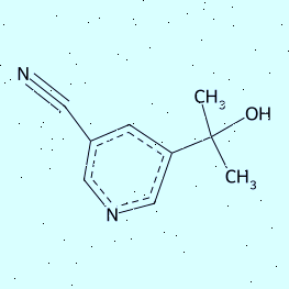 CC(C)(O)c1cncc(C#N)c1